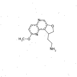 COc1ccc2ncc3c(c2n1)C(CCN)CO3